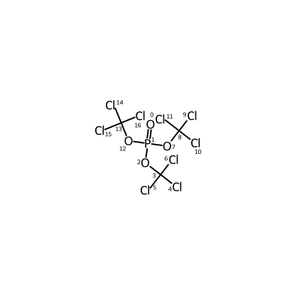 O=P(OC(Cl)(Cl)Cl)(OC(Cl)(Cl)Cl)OC(Cl)(Cl)Cl